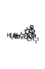 CCO[SiH2]CCCc1ccc2c(c1C(C)(C)OC)C(=O)OC2=O